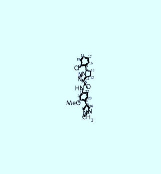 COc1cc(NC(=O)c2nnn3c2CCC3c2ccccc2Cl)ccc1-c1cnn(C)c1